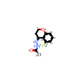 CCC(=O)N/N=C1/CCOc2cccc(F)c21